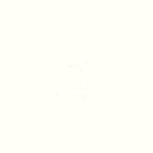 [2H]C1(Nc2ncc(F)c(-c3cc(F)c4nc(C)n(C(C)C)c4c3)n2)CC(N)C1